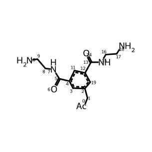 CC(=O)Cc1cc(C(=O)NCCN)cc(C(=O)NCCN)c1